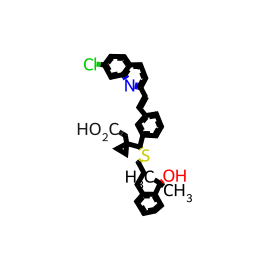 CC(C)(O)c1ccccc1CCCSC(c1cccc(C=Cc2ccc3ccc(Cl)cc3n2)c1)C1(CC(=O)O)CC1